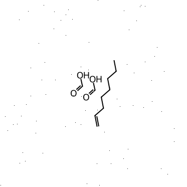 C=CCCCCCC.O=CO.O=CO